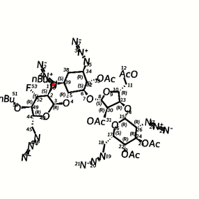 CCCCO[C@H]1[C@@H](O[C@H]2[C@H](O[C@@H]3O[C@H](COC(C)=O)[C@@H](O[C@H]4O[C@@H](CN=[N+]=[N-])[C@@H](OC(C)=O)[C@H](OC(C)=O)[C@H]4N=[N+]=[N-])[C@H]3OC(C)=O)[C@@H](OC(C)=O)[C@H](N=[N+]=[N-])C[C@@H]2N=[N+]=[N-])O[C@H](CN=[N+]=[N-])[C@@H](OCCCC)[C@@H]1F